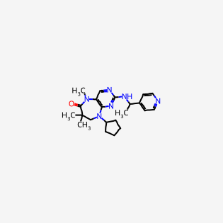 CC(Nc1ncc2c(n1)N(C1CCCC1)CC(C)(C)C(=O)N2C)c1ccncc1